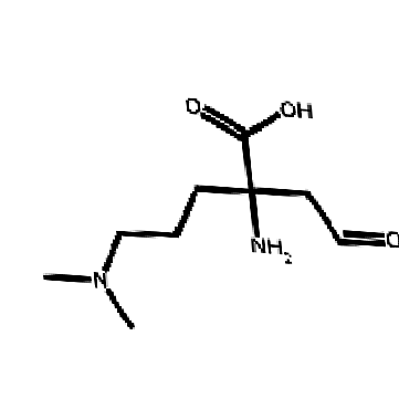 CN(C)CCCC(N)(CC=O)C(=O)O